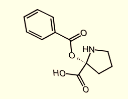 O=C(O[C@@]1(C(=O)O)CCCN1)c1ccccc1